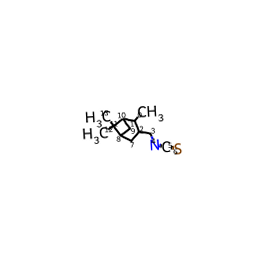 CC1C(CN=C=S)CC2CC1C2(C)C